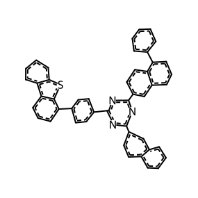 c1ccc(-c2cccc3cc(-c4nc(-c5ccc(-c6cccc7c6sc6ccccc67)cc5)nc(-c5ccc6ccccc6c5)n4)ccc23)cc1